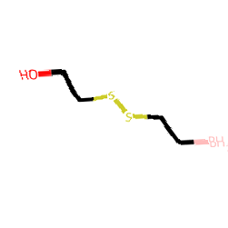 BCCSSCCO